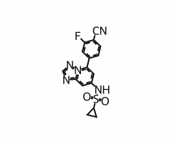 N#Cc1ccc(-c2cc(NS(=O)(=O)C3CC3)cc3ncnn23)cc1F